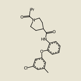 Cc1cc(Cl)cc(Oc2ccccc2NC(=O)C2CCN(C(=O)C(C)C)CC2)c1